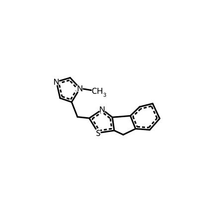 Cn1cncc1Cc1nc2c(s1)Cc1ccccc1-2